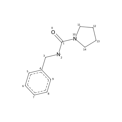 O=C([N]Cc1ccccc1)N1CCCC1